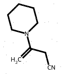 C=C(CC#N)N1CCCCC1